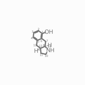 Oc1cccc2c1C[C@H]1NCC[C@H]1C2